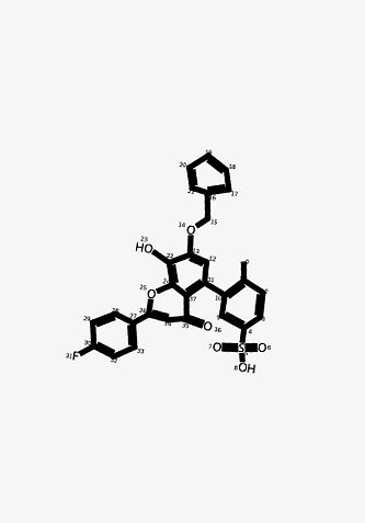 Cc1ccc(S(=O)(=O)O)cc1-c1cc(OCc2ccccc2)c(O)c2oc(-c3ccc(F)cc3)cc(=O)c12